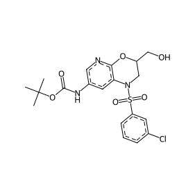 CC(C)(C)OC(=O)Nc1cnc2c(c1)N(S(=O)(=O)c1cccc(Cl)c1)CC(CO)O2